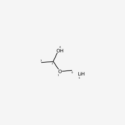 COC(C)O.[LiH]